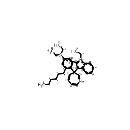 CCCCCCc1cc(N(CC)CC)ccc1C1(c2c(C)n(CC)c3ccccc23)C=CC=CN=C1